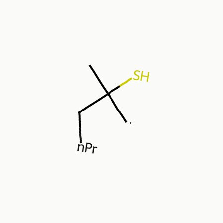 [CH2]C(C)(S)CCCC